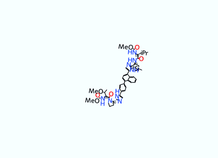 COC(=O)N[C@H](C(=O)N[C@@H](C[SiH](C)C)c1ncc(-c2ccc(-c3ccc(-c4cnc([C@@H]5CCCN5C(=O)[C@@H](NC(=O)OC)C(C)OC)[nH]4)cc3)c3ccccc23)[nH]1)C(C)C